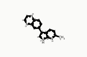 Cc1ccc2c(-c3ccc4nccnc4c3)c[nH]c2n1